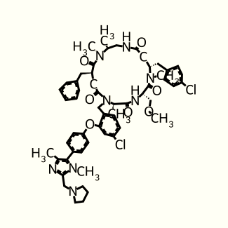 COC[C@@H]1NC(=O)[C@H](C)N(Cc2ccc(Cl)cc2Oc2ccc(-c3c(C)nc(CN4CCCC4)n3C)cc2)C(=O)C[C@@H](Cc2ccccc2)C(=O)N(C)[C@@H](C)CNC(=O)C[C@H](Cc2ccc(Cl)cc2)N(C)C1=O